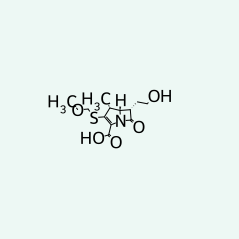 COCSC1=C(C(=O)O)N2C(=O)[C@@H](CCO)[C@H]2[C@H]1C